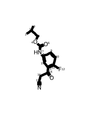 CC(C)COC(=O)Nc1ccc(F)c(C(=O)CC#N)c1